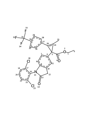 CCOC(=O)C1(c2ccc3c(c2)CC(=O)N3c2c(Cl)cccc2Cl)C(C)=C1c1ccc(C(F)(F)F)cc1